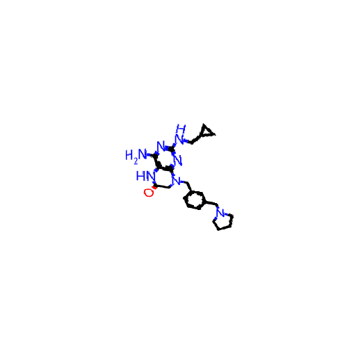 Nc1nc(NCC2CC2)nc2c1NC(=O)CN2Cc1cccc(CN2CCCC2)c1